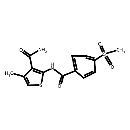 Cc1csc(NC(=O)c2ccc(S(C)(=O)=O)cc2)c1C(N)=O